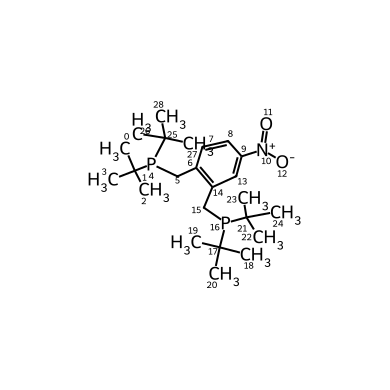 CC(C)(C)P(Cc1ccc([N+](=O)[O-])cc1CP(C(C)(C)C)C(C)(C)C)C(C)(C)C